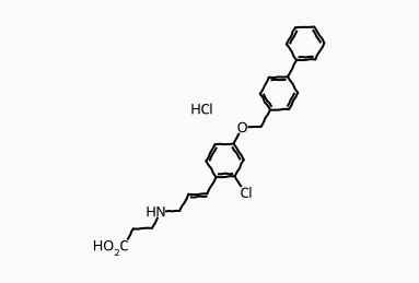 Cl.O=C(O)CCNC/C=C/c1ccc(OCc2ccc(-c3ccccc3)cc2)cc1Cl